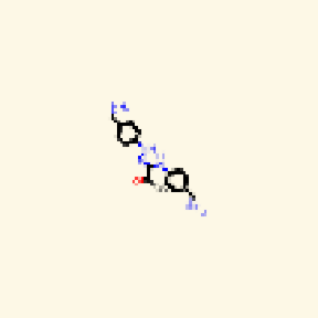 CC(C)(C)C(=O)C(=NNc1ccc(CN)cc1)Nc1ccc(CN)cc1